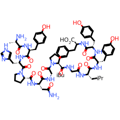 CC[C@H](C)[C@H](NC(=O)[C@H](CC(N)=O)NC(=O)[C@@H]1CCCN1C(=O)[C@H](Cc1c[nH]cn1)NC(=O)[C@H](Cc1ccc(O)cc1)NC(=O)[C@H](C)N)C(=O)N1CCC[C@H]1C(=O)NCC(=O)N[C@@H](CC(C)C)C(=O)N[C@@H](Cc1ccc(O)cc1)C(=O)N[C@@H](Cc1ccc(O)cc1)C(=O)N[C@@H](Cc1ccccc1)C(=O)O